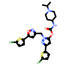 CC(C)N1CCC(NC(=O)Oc2cc(-c3ccc(Cl)s3)nn2Cc2cc(-c3ccc(Cl)s3)on2)CC1